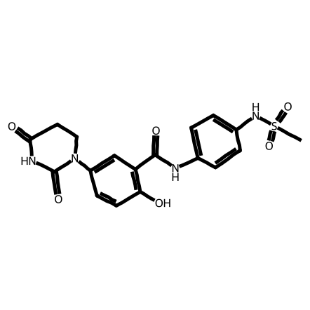 CS(=O)(=O)Nc1ccc(NC(=O)c2cc(N3CCC(=O)NC3=O)ccc2O)cc1